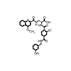 COc1cc(C(=O)NC[C@H](NC(=O)c2ccc(C(=O)NCc3cccc(O)c3)cc2Cl)C(=O)O)nc2ccccc12